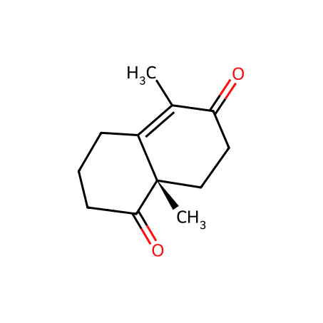 CC1=C2CCCC(=O)[C@@]2(C)CCC1=O